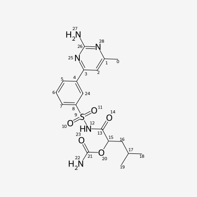 Cc1cc(-c2cccc(S(=O)(=O)NC(=O)C(CC(C)C)OC(N)=O)c2)nc(N)n1